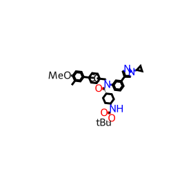 COc1ccc(C23CCC(CN(c4cccc(-c5cnn(C6CC6)c5)c4)C(=O)[C@H]4CC[C@H](NC(=O)OC(C)(C)C)CC4)(CC2)CC3)cc1C